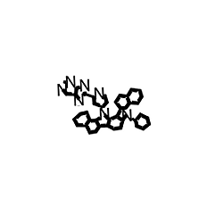 Cn1c(-c2cc(-n3c4c5ccccc5ccc4c4ccc5c(c6ccc7ccccc7c6n5-c5ccccc5)c43)ccn2)nc2ncncc21